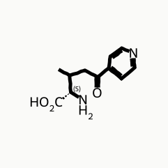 CC(CC(=O)c1ccncc1)[C@H](N)C(=O)O